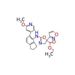 CCOC(=O)C1(c2ccon2)CN=C(Nc2c(-c3ccnc(OC)c3)ccc3c2CCC3)O1